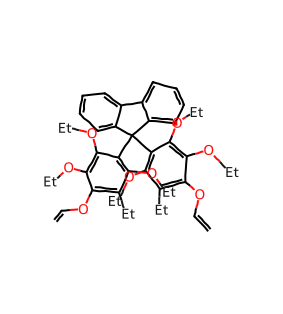 C=COc1c(CC)c(OCC)c(C2(c3c(OCC)c(CC)c(OC=C)c(OCC)c3OCC)c3ccccc3-c3ccccc32)c(OCC)c1OCC